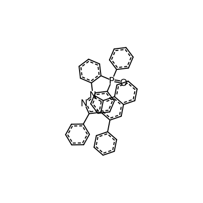 O=P(c1ccccc1)(c1ccccc1)c1ccccc1-n1nc(-c2ccccc2)c2c(-c3ccccc3)cc3ccccc3c21